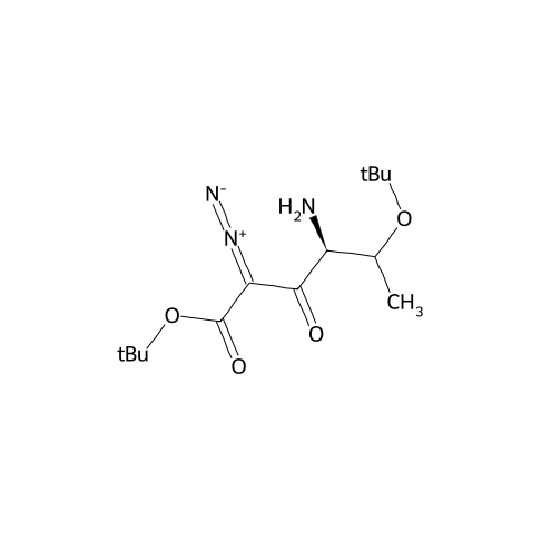 CC(OC(C)(C)C)[C@H](N)C(=O)C(=[N+]=[N-])C(=O)OC(C)(C)C